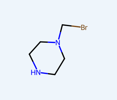 BrCN1CCNCC1